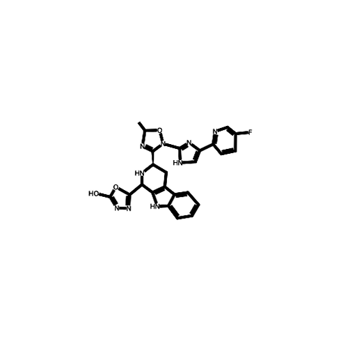 CC1N=C([C@H]2Cc3c([nH]c4ccccc34)C(c3nnc(O)o3)N2)N(c2nc(-c3ccc(F)cn3)c[nH]2)O1